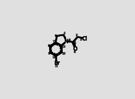 O=C(CCl)N1CCc2ccc(Br)cc21